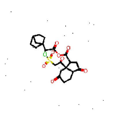 CS(=O)(=O)CC(=O)C12CC(=O)CCC1C(=O)CC2C(=O)OC(=O)C(Cl)C12CCC(CC1)C2